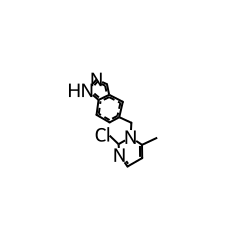 CC1=CC=NC(Cl)N1Cc1ccc2[nH]ncc2c1